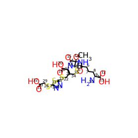 CO[C@@]1(NC(=O)CCC[C@@H](N)C(=O)O)C(=O)N2C(C(=O)O)=C(CSc3nnc(SCC(=O)O)s3)CS[C@@H]21